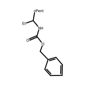 C[CH]CCCC(CC)NC(=O)OCc1ccccc1